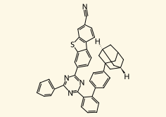 N#Cc1ccc2c(c1)sc1cc(-c3nc(-c4ccccc4)nc(-c4ccccc4-c4ccc(C56CC7C[C@H](C5)C[C@H](C7)C6)cc4)n3)ccc12